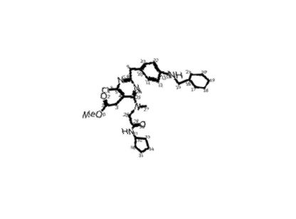 COC(=O)Cc1c(Cl)nc(Cc2ccc(NCC3CCCCC3)cc2)nc1N(C)CC(=O)NC1CCCC1